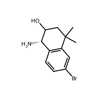 CC1(C)CC(O)[C@@H](N)c2ccc(Br)cc21